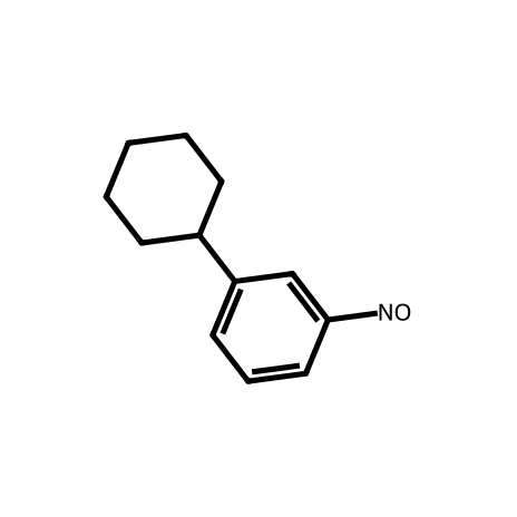 O=Nc1cccc(C2CCCCC2)c1